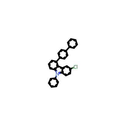 Clc1ccc2c(c1)c1c(-c3ccc(-c4ccccc4)cc3)cccc1n2-c1ccccc1